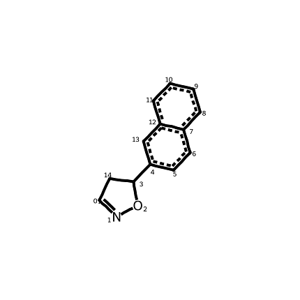 [C]1=NOC(c2ccc3ccccc3c2)C1